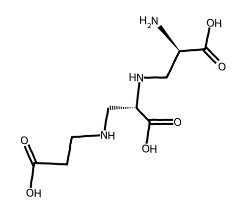 N[C@H](CN[C@@H](CNCCC(=O)O)C(=O)O)C(=O)O